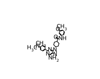 COc1cccc(NC(=O)C2CCC(n3cnc4c(N)nc(-c5ccc(N(C)C)cc5)nc43)CC2)c1